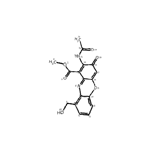 COC(=O)c1c2nc3c(CO)cccc3oc-2cc(=O)c1NC(C)=O